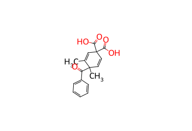 CC1=CC(C(=O)O)(C(=O)O)C=CC1(C)C(=O)c1ccccc1